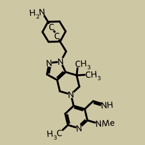 CNc1nc(C)cc(N2Cc3cnn(CC45CCC(N)(CC4)CC5)c3C(C)(C)C2)c1C=N